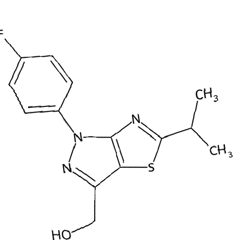 CC(C)c1nc2c(s1)c(CO)nn2-c1ccc(F)cc1